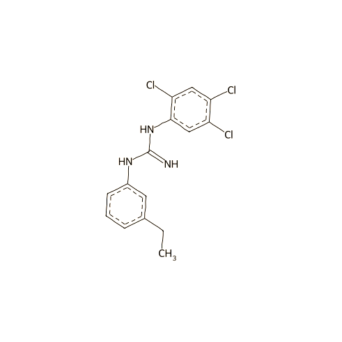 CCc1cccc(NC(=N)Nc2cc(Cl)c(Cl)cc2Cl)c1